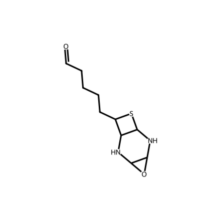 O=CCCCCC1SC2NC3OC3NC12